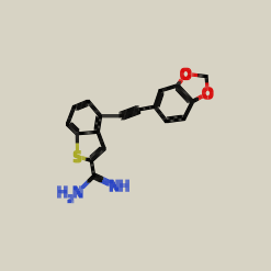 N=C(N)c1cc2c(C#Cc3ccc4c(c3)OCO4)cccc2s1